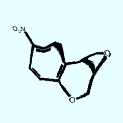 O=[N+]([O-])c1ccc2c(c1)C1OC1CO2